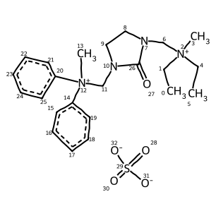 CC[N+](C)(CC)CN1CCN(C[N+](C)(c2ccccc2)c2ccccc2)C1=O.O=S(=O)([O-])[O-]